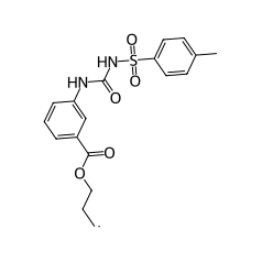 [CH2]CCOC(=O)c1cccc(NC(=O)NS(=O)(=O)c2ccc(C)cc2)c1